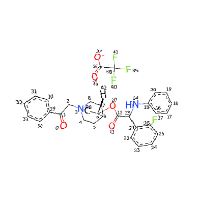 O=C(C[N+]12CCC(CC1)[C@@H](OC(=O)C(Nc1ccccc1)c1ccccc1F)C2)c1ccccc1.O=C([O-])C(F)(F)F